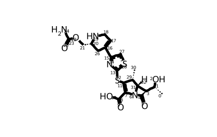 C[C@@H](O)[C@H]1C(=O)N2C(C(=O)O)=C(Sc3nc(C4=CCN[C@@H](COC(N)=O)C4)cs3)[C@H](C)[C@H]12